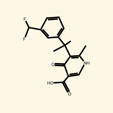 Cc1[nH]cc(C(=O)O)c(=O)c1C(C)(C)c1cccc(C(F)F)c1